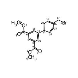 COC(=O)c1cc(C(=O)OC)cc(-c2ccc(CBr)cc2)c1